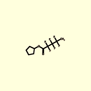 CC(F)(F)C(F)(F)C(F)(F)C(=O)OC1CCCC1